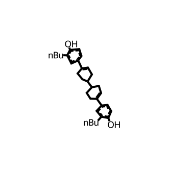 CCCCc1cc(C2=CCC(C3CC=C(c4ccc(O)c(CCCC)c4)CC3)CC2)ccc1O